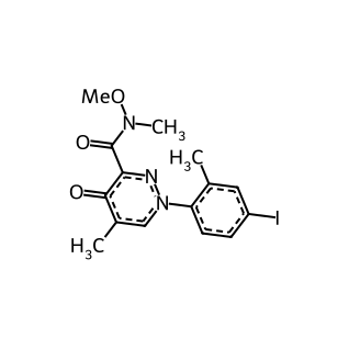 CON(C)C(=O)c1nn(-c2ccc(I)cc2C)cc(C)c1=O